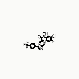 CN(C(=O)c1cn2c(-c3ccc(C(F)(F)F)cc3)cnc2cn1)c1ccc(F)c(Cl)c1